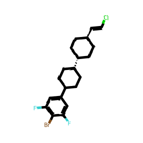 Fc1cc(C2CCC([C@H]3CC[C@H](/C=C/Cl)CC3)CC2)cc(F)c1Br